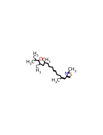 CC(=Cc1csc(C)n1)CCC=CCCCC(C)CC(C)C(=O)C(C)C